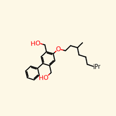 CC(C)CCCC(C)CCOc1cc(CO)c(-c2ccccc2)cc1CO